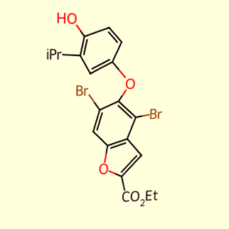 CCOC(=O)c1cc2c(Br)c(Oc3ccc(O)c(C(C)C)c3)c(Br)cc2o1